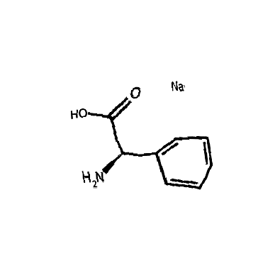 N[C@@H](C(=O)O)c1ccccc1.[Na]